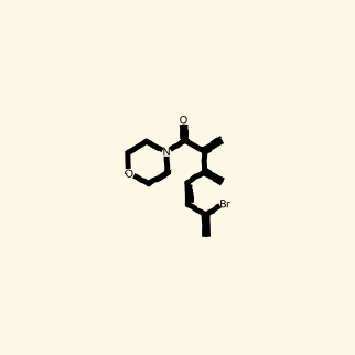 C=C(Br)/C=C\C(=C)C(=C)C(=O)N1CCOCC1